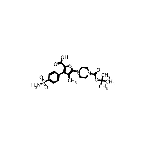 Cc1c(N2CCN(C(=O)OC(C)(C)C)CC2)sc(C(=O)O)c1-c1ccc(S(N)(=O)=O)cc1